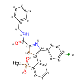 CS(=O)(=O)c1ccccc1-c1sc(C(=O)NCc2ccccc2)nc1-c1ccc(F)cc1